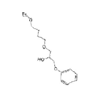 CCOCCCCOCC(O)COc1ccccc1